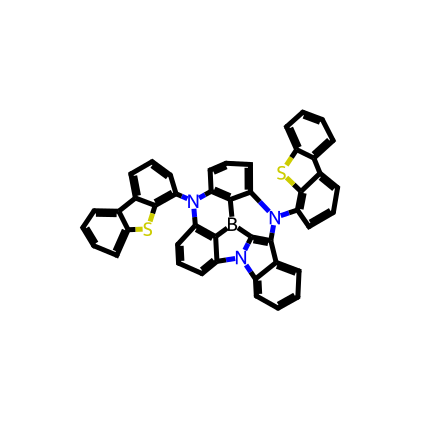 c1cc2c3c(c1)N(c1cccc4c1sc1ccccc14)c1c4n(c5ccccc15)-c1cccc(c1B34)N2c1cccc2c1sc1ccccc12